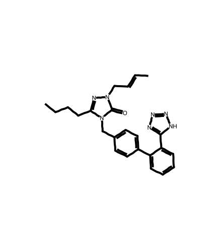 CC=CCn1nc(CCCC)n(Cc2ccc(-c3ccccc3-c3nnn[nH]3)cc2)c1=O